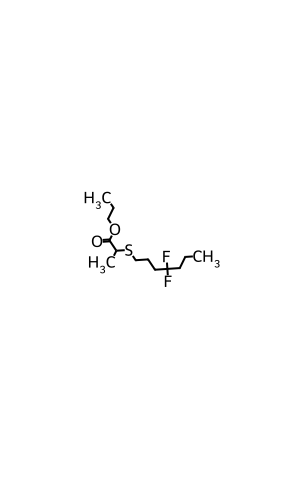 CCCOC(=O)C(C)SCCCC(F)(F)CCC